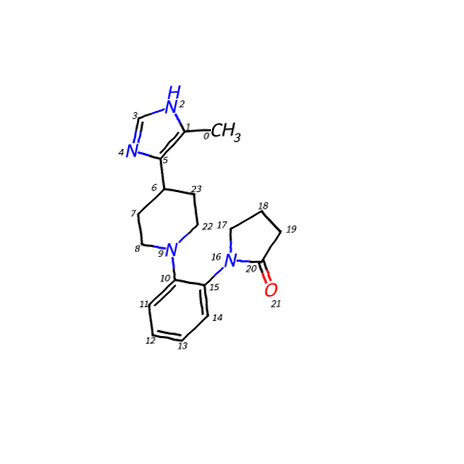 Cc1[nH]cnc1C1CCN(c2ccccc2N2CCCC2=O)CC1